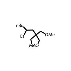 CCCCC(CC)CC(COC)(COC)CC(C)C